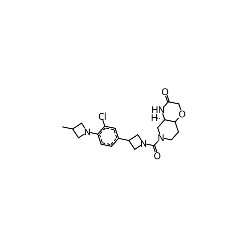 CC1CN(c2ccc(C3CN(C(=O)N4CCC5OCC(=O)N[C@@H]5C4)C3)cc2Cl)C1